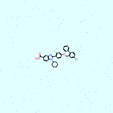 O=C(O)c1ccc2c(c1)nc(-c1ccc(OCc3cc(Cl)ccc3-c3ccccc3)cc1F)n2C1CCCCC1